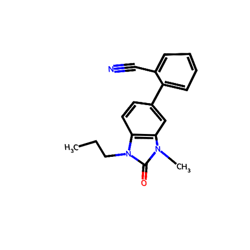 CCCn1c(=O)n(C)c2cc(-c3ccccc3C#N)ccc21